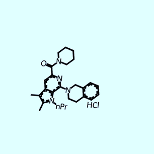 CCCn1c(C)c(C)c2cc(C(=O)N3CCCCC3)nc(N3CCc4ccccc4C3)c21.Cl